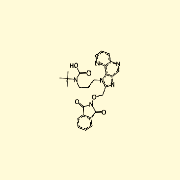 CC(C)(C)N(CCCn1c(CON2C(=O)c3ccccc3C2=O)nc2cnc3cccnc3c21)C(=O)O